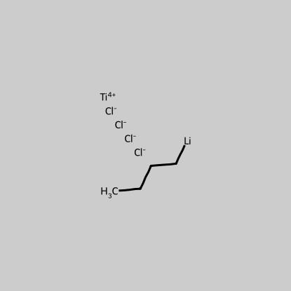 [Cl-].[Cl-].[Cl-].[Cl-].[Li][CH2]CCC.[Ti+4]